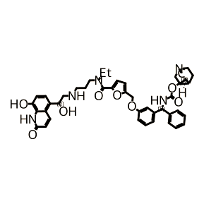 CCN(CCCNC[C@H](O)c1ccc(O)c2[nH]c(=O)ccc12)C(=O)c1ccc(COc2cccc([C@@H](NC(=O)O[C@H]3CN4CCC3CC4)c3ccccc3)c2)o1